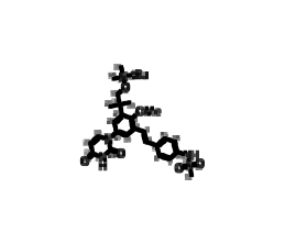 COc1c(C=Cc2ccc(NS(C)(=O)=O)cc2)cc(-n2ccc(=O)[nH]c2=O)cc1C(C)(C)CO[Si](C)(C)C(C)(C)C